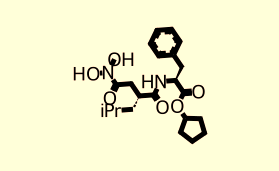 CC(C)C[C@H](CC(=O)N(O)O)C(=O)N[C@@H](Cc1ccccc1)C(=O)OC1CCCC1